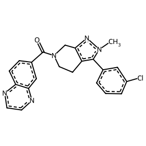 Cn1nc2c(c1-c1cccc(Cl)c1)CCN(C(=O)c1ccc3nccnc3c1)C2